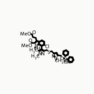 COC(=O)CCc1c(C(=O)OC)n(C)c2c(-c3c(CSCc4cc(CO[Si](c5ccccc5)(c5ccccc5)C(C)(C)C)n(C)n4)nn(C)c3C)c(Cl)ccc12